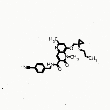 CCCSC1(COc2cc(C)nc3cc(C(=O)NCc4ccc(C#N)cc4)c(=O)n(C)c23)CC1